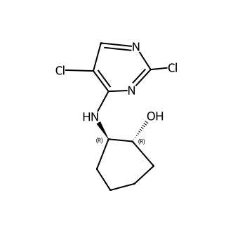 O[C@@H]1CCCC[C@H]1Nc1nc(Cl)ncc1Cl